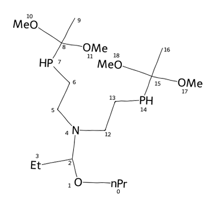 CCCOC(CC)N(CCPC(C)(OC)OC)CCPC(C)(OC)OC